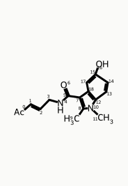 CC(=O)/C=C/CNC(=O)c1c(C)n(C)c2ccc(O)cc12